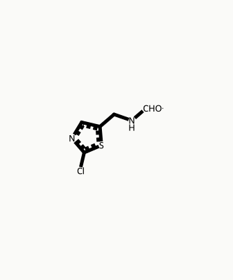 O=[C]NCc1cnc(Cl)s1